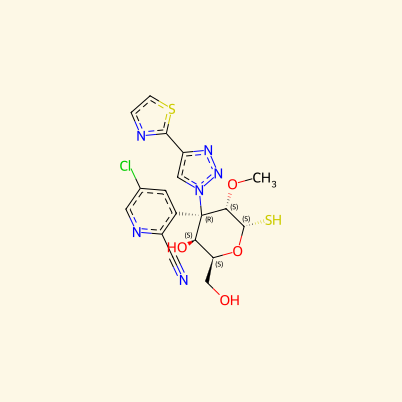 CO[C@@H]1[C@H](S)O[C@@H](CO)[C@@H](O)[C@@]1(c1cc(Cl)cnc1C#N)n1cc(-c2nccs2)nn1